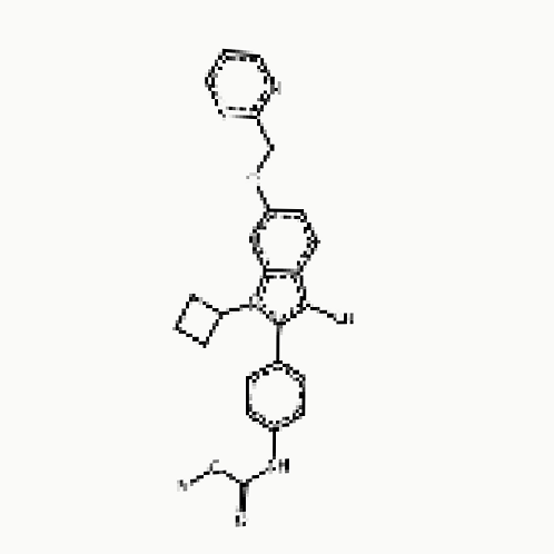 CC(C)OC(=O)Nc1ccc(-c2c(C#N)c3ccc(OCc4ncccn4)cc3n2C2CCC2)cc1